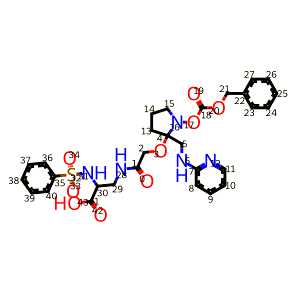 O=C(COC1(CNc2ccccn2)CCCN1OC(=O)OCc1ccccc1)NCC(NS(=O)(=O)c1ccccc1)C(=O)O